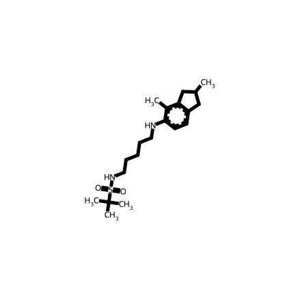 Cc1c(NCCCCCNS(=O)(=O)C(C)(C)C)ccc2c1CC(C)C2